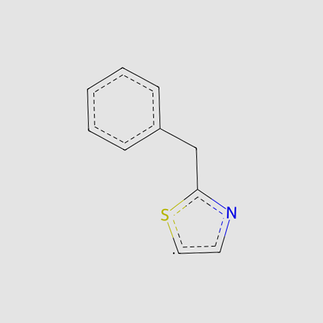 [c]1cnc(Cc2ccccc2)s1